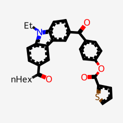 CCCCCCC(=O)c1ccc2c(c1)c1cc(C(=O)c3ccc(OC(=O)c4cccs4)cc3)ccc1n2CC